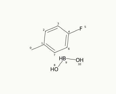 Cc1ccc(F)cc1.OBO